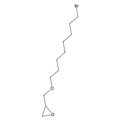 BrCCCCCCCCOCC1CO1